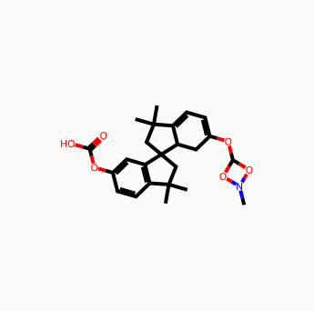 CN1OC(OC2=CC=C3C(C2)C2(CC3(C)C)CC(C)(C)c3ccc(OC(=O)O)cc32)O1